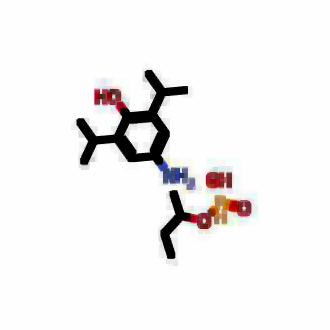 CC(C)c1cc(N)cc(C(C)C)c1O.CCC(C)O[PH](=O)O